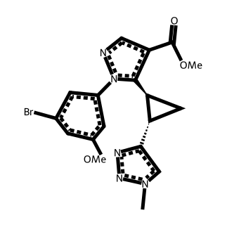 COC(=O)c1cnn(-c2cc(Br)cc(OC)c2)c1[C@H]1C[C@@H]1c1cn(C)nn1